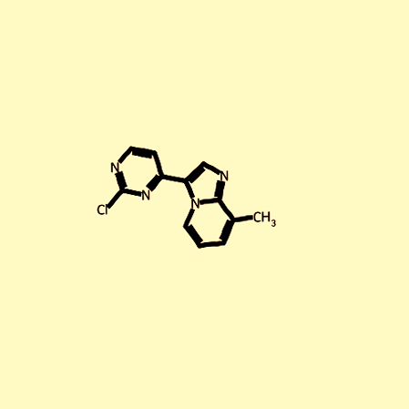 Cc1cccn2c(-c3ccnc(Cl)n3)cnc12